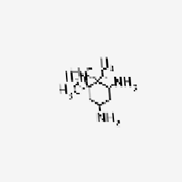 CC1(C)[C@@H](N)C[C@@H](N)C[C@@]1(C)N